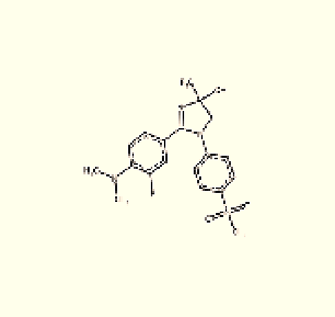 CN(C)c1ccc(C2=NC(O)(C(F)(F)F)CN2c2ccc(S(C)(=O)=O)cc2)cc1F